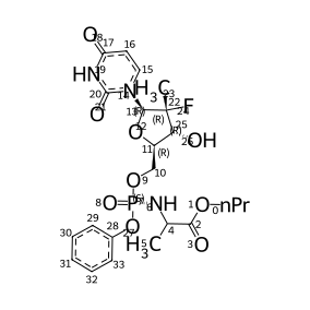 CCCOC(=O)C(C)N[P@](=O)(OC[C@H]1O[C@@H](n2ccc(=O)[nH]c2=O)[C@](C)(F)[C@@H]1O)Oc1ccccc1